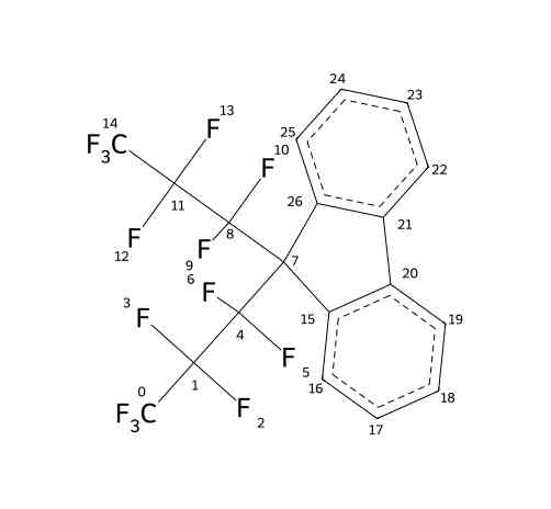 FC(F)(F)C(F)(F)C(F)(F)C1(C(F)(F)C(F)(F)C(F)(F)F)c2ccccc2-c2ccccc21